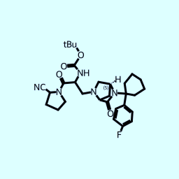 CC(C)(C)OC(=O)NC(CN1C[C@@H]2CC1C(=O)N2C1(c2ccc(F)cc2)CCCCC1)C(=O)N1CCCC1C#N